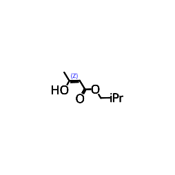 C/C(O)=C/C(=O)OCC(C)C